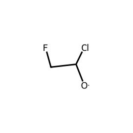 [O]C(Cl)CF